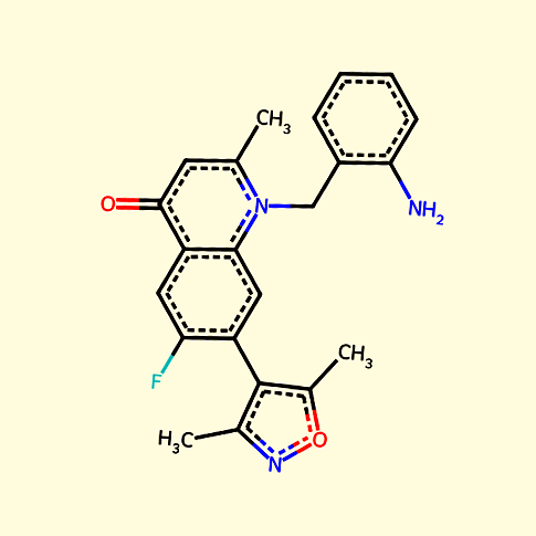 Cc1noc(C)c1-c1cc2c(cc1F)c(=O)cc(C)n2Cc1ccccc1N